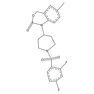 Cc1ccc2c(c1)COC(=O)N2C1CCN(S(=O)(=O)c2ccc(F)cc2F)CC1